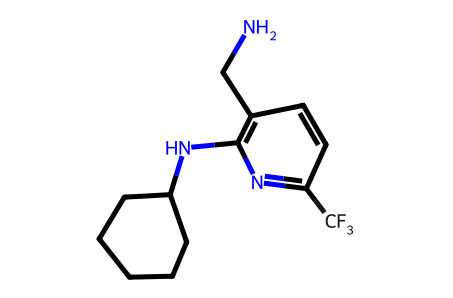 NCc1ccc(C(F)(F)F)nc1NC1CCCCC1